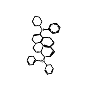 C1=CCCC(N(C2C=CC=CC2)C2C=CC3=C4C5=C(CC3)C(N(c3ccccc3)C3CCCCC3)=CCC5CCC42)=C1